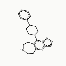 c1ccc(C2CCN(c3c4c(nc5ccnn35)CCNCC4)CC2)cc1